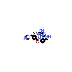 CSc1cc(C(=O)Nc2cccc([C@H](C)Nc3cnc4cnn(C)c4n3)c2)ccc1CN1CCN(C)CC1